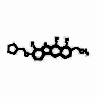 CCc1ccc2cc3c(sc4c(F)c(OCC5CCCC5)ccc43)c(F)c2c1F